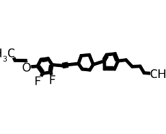 CCCCCc1ccc(C2CCC(C#Cc3ccc(OCCC)c(F)c3F)CC2)cc1